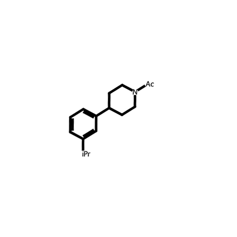 CC(=O)N1CCC(c2cccc(C(C)C)c2)CC1